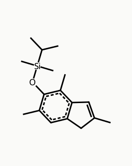 CC1=Cc2c(cc(C)c(O[Si](C)(C)C(C)C)c2C)C1